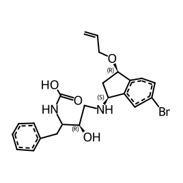 C=CCO[C@@H]1C[C@H](NC[C@@H](O)C(Cc2ccccc2)NC(=O)O)c2cc(Br)ccc21